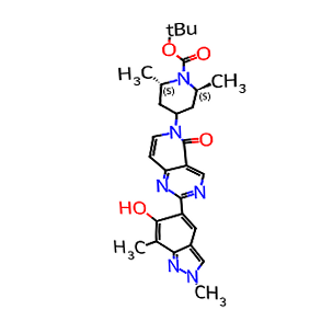 Cc1c(O)c(-c2ncc3c(=O)n(C4C[C@H](C)N(C(=O)OC(C)(C)C)[C@@H](C)C4)ccc3n2)cc2cn(C)nc12